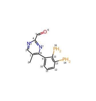 Cc1cnc(C=O)nc1-c1cccc(P)c1P